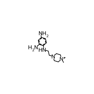 C[N+]1(C)CCN(CCNc2ccc(N)cc2N)CC1